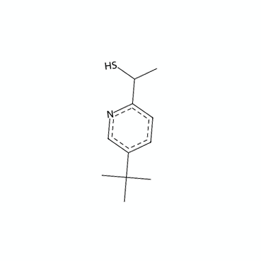 CC(S)c1ccc(C(C)(C)C)cn1